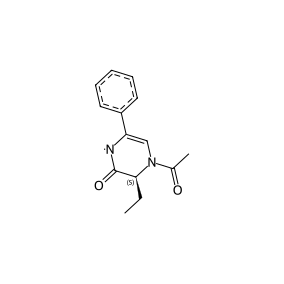 CC[C@H]1C(=O)[N]C(c2ccccc2)=CN1C(C)=O